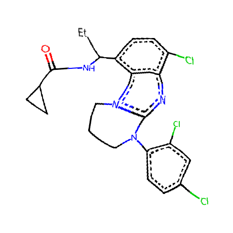 CCC(NC(=O)C1CC1)c1ccc(Cl)c2nc3n(c12)CCCN3c1ccc(Cl)cc1Cl